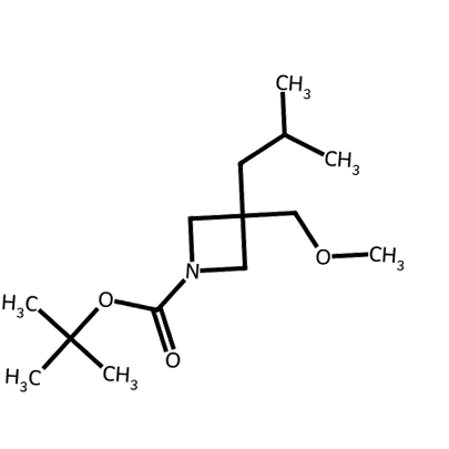 COCC1(CC(C)C)CN(C(=O)OC(C)(C)C)C1